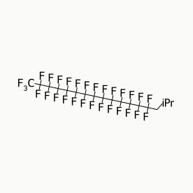 CC(C)CC(F)(F)C(F)(F)C(F)(F)C(F)(F)C(F)(F)C(F)(F)C(F)(F)C(F)(F)C(F)(F)C(F)(F)C(F)(F)C(F)(F)C(F)(F)C(F)(F)F